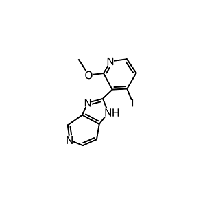 COc1nccc(I)c1-c1nc2cnccc2[nH]1